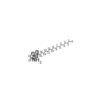 CCCCCCCCCCCCCCCCCC(=O)OC(=O)C1(N)CC1